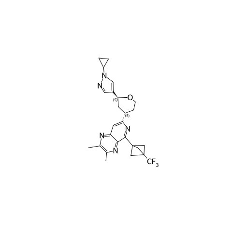 Cc1nc2cc([C@H]3CCO[C@H](c4cnn(C5CC5)c4)C3)nc(C34CC(C(F)(F)F)(C3)C4)c2nc1C